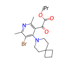 Cc1nc(C)c(C(=O)C(=O)OC(C)C)c(N2CCC3(CCC3)CC2)c1Br